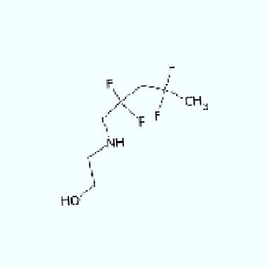 CC(F)(F)CC(F)(F)CNCCO